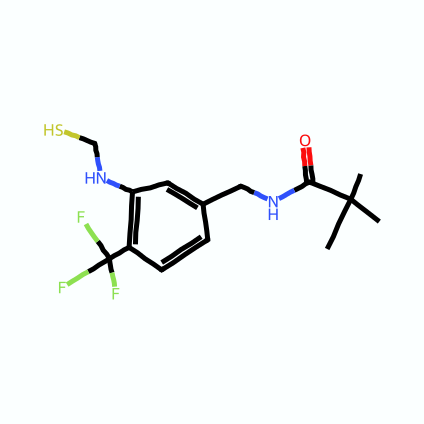 CC(C)(C)C(=O)NCc1ccc(C(F)(F)F)c(NCS)c1